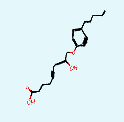 CCCCCc1ccc(OCC(O)CC#CCCCC(=O)O)cc1